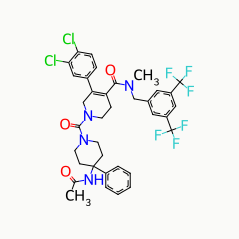 CC(=O)NC1(c2ccccc2)CCN(C(=O)N2CCC(C(=O)N(C)Cc3cc(C(F)(F)F)cc(C(F)(F)F)c3)=C(c3ccc(Cl)c(Cl)c3)C2)CC1